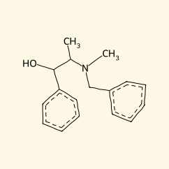 CC(C(O)c1ccccc1)N(C)Cc1ccccc1